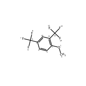 COc1ccc(C(F)(F)F)cc1C(F)(F)F